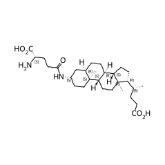 C[C@H](CCC(=O)O)[C@H]1CC[C@H]2[C@@H]3CC[C@@H]4C[C@@H](NC(=O)CC[C@H](N)C(=O)O)CC[C@]4(C)[C@H]3CC[C@]12C